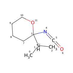 C[SiH](C)C1(N=C=O)CCCCO1